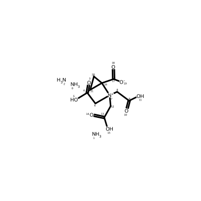 N.N.N.O=C(O)C[N+](CC(=O)O)(CC(=O)O)C1(C(=O)[O-])CC1